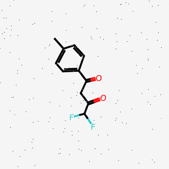 Cc1ccc(C(=O)CC(=O)C(F)F)cc1